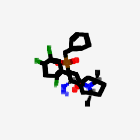 N[C@H](Cc1cc(F)c(F)cc1F)C1C[C@H]2CC[C@@H](C1)N2C(=O)CCS(=O)(=O)Cc1ccccc1